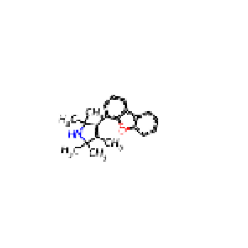 CC1=C(c2cccc3c2oc2ccccc23)C(C)(C)NC1(C)C